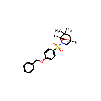 CC1(C)C[C@@H]2CN(S(=O)(=O)c3ccc(OCc4ccccc4)cc3)[C@H]1C(=O)O2